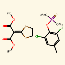 CC(C)OC(=O)C(C(=O)OC(C)C)=C1SCCS1.COP(=S)(OC)Oc1c(Cl)cc(C)cc1Cl